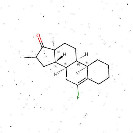 CC1C[C@H]2[C@@H]3CC(F)=C4CCCC[C@]4(C)[C@@H]3CC[C@]2(C)C1=O